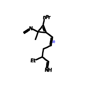 C=NC1(C)C(/C=C\CC(C=N)CC)=C1CCC